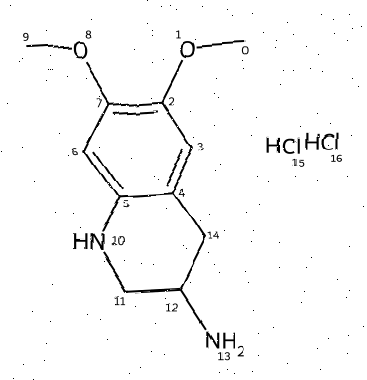 COc1cc2c(cc1OC)NCC(N)C2.Cl.Cl